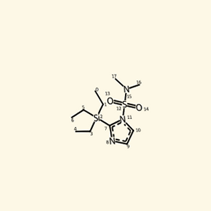 CC[Si](CC)(CC)c1nccn1S(=O)(=O)N(C)C